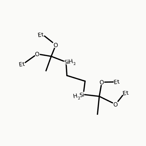 CCOC(C)(OCC)[SiH2]CC[SiH2]C(C)(OCC)OCC